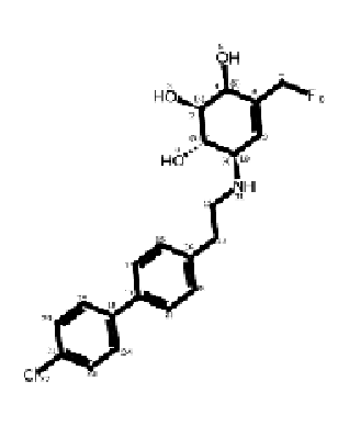 O[C@@H]1[C@@H](O)[C@@H](O)C(CF)=C[C@H]1NCCc1ccc(-c2ccc(Cl)cc2)cc1